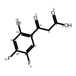 O=C(O)CC(=O)c1cc(F)c(F)cc1Br